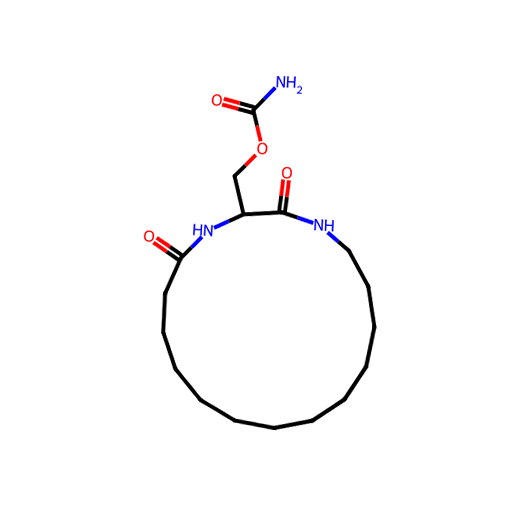 NC(=O)OCC1NC(=O)CCCCCCCCCCCCNC1=O